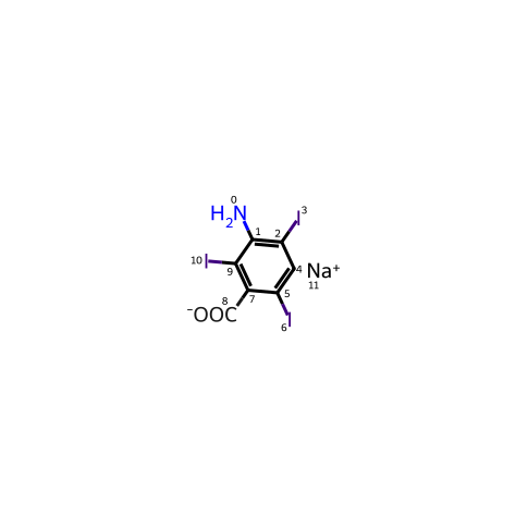 Nc1c(I)cc(I)c(C(=O)[O-])c1I.[Na+]